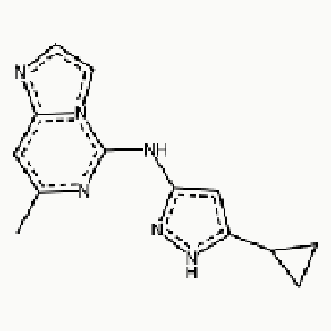 Cc1cc2nccn2c(Nc2cc(C3CC3)[nH]n2)n1